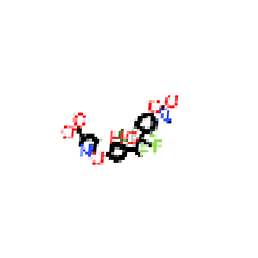 COC(=O)c1ccc(Oc2ccc(C(C)C(O)(c3ccc4oc(=O)n(C)c4c3)C(F)(F)F)c(Cl)c2)nc1